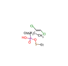 CC.CCSOP(=O)(O)OC.ClC=CCl